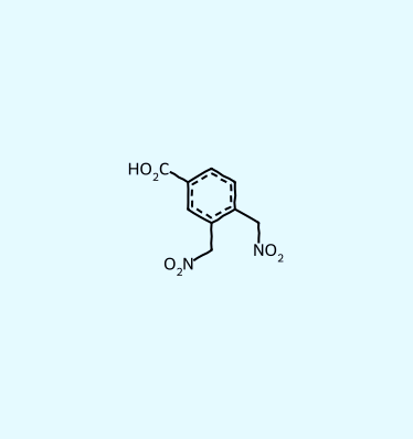 O=C(O)c1ccc(C[N+](=O)[O-])c(C[N+](=O)[O-])c1